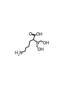 NCCCCC(C(=O)O)N(CO)CO